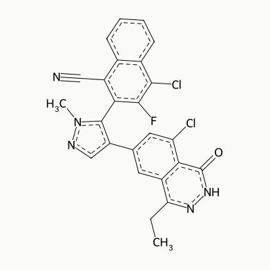 CCc1n[nH]c(=O)c2c(Cl)cc(-c3cnn(C)c3-c3c(F)c(Cl)c4ccccc4c3C#N)cc12